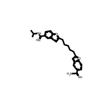 CC(C)NC(=N)c1ccc2oc(CCCCCc3cc4cc(C(=N)N)ccc4o3)cc2c1